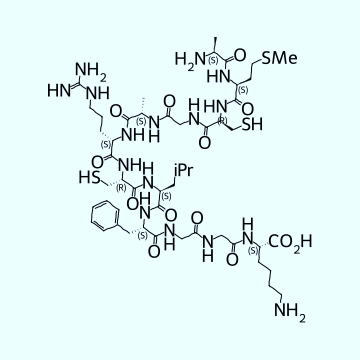 CSCC[C@H](NC(=O)[C@H](C)N)C(=O)N[C@@H](CS)C(=O)NCC(=O)N[C@@H](C)C(=O)N[C@@H](CCCNC(=N)N)C(=O)N[C@@H](CS)C(=O)N[C@@H](CC(C)C)C(=O)N[C@@H](Cc1ccccc1)C(=O)NCC(=O)NCC(=O)N[C@@H](CCCCN)C(=O)O